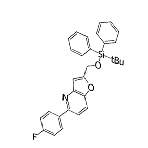 CC(C)(C)[Si](OCc1cc2nc(-c3ccc(F)cc3)ccc2o1)(c1ccccc1)c1ccccc1